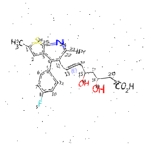 Cc1cc2c(-c3ccc(F)cc3)c(/C=C/C(O)CC(O)CC(=O)O)c(C(C)C)nc2s1